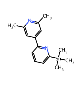 Cc1cc(-c2ccc[c]([Sn]([CH3])([CH3])[CH3])n2)cc(C)n1